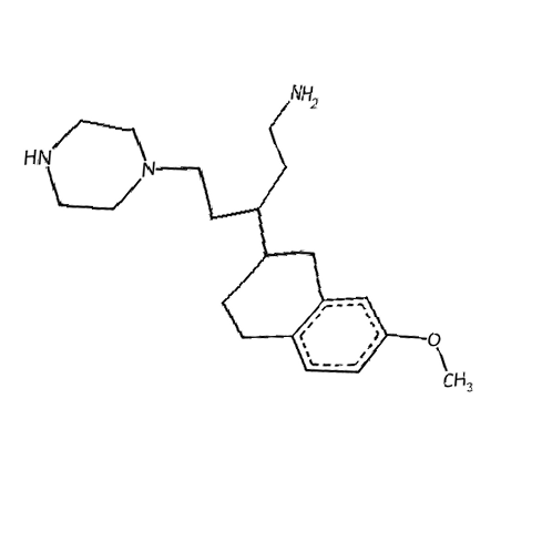 COc1ccc2c(c1)CC(C(CCN)CCN1CCNCC1)CC2